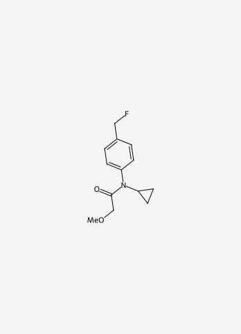 [CH2]OCC(=O)N(c1ccc(CF)cc1)C1CC1